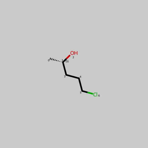 C[C@H](O)CCCCl